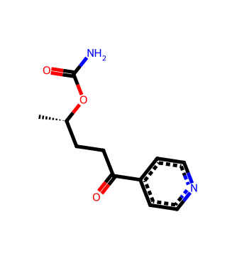 C[C@@H](CCC(=O)c1ccncc1)OC(N)=O